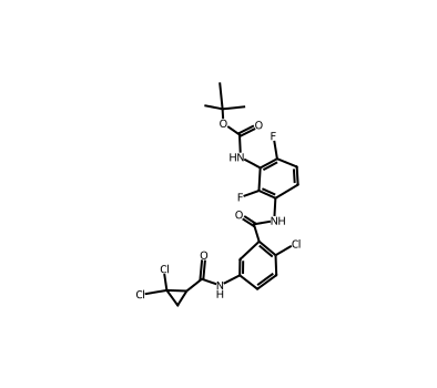 CC(C)(C)OC(=O)Nc1c(F)ccc(NC(=O)c2cc(NC(=O)C3CC3(Cl)Cl)ccc2Cl)c1F